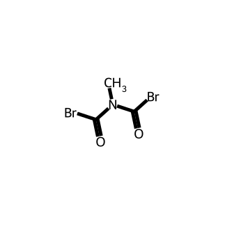 CN(C(=O)Br)C(=O)Br